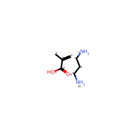 C=C(C)C(=O)O.NCCCN